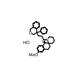 COc1ccc2c(c1)CCC1(CCCCN1CCCC1(c3ccccc3)COCc3ccccc31)C2=O.Cl